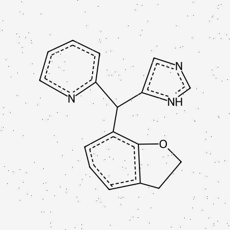 c1ccc(C(c2cnc[nH]2)c2cccc3c2OCC3)nc1